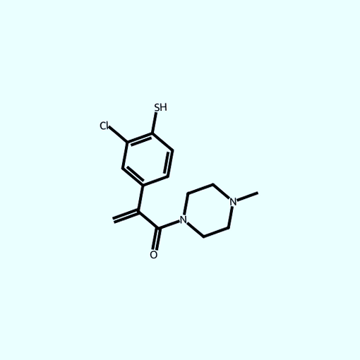 C=C(C(=O)N1CCN(C)CC1)c1ccc(S)c(Cl)c1